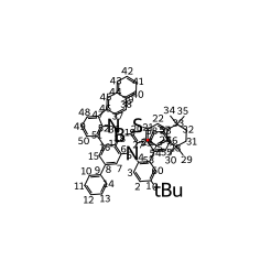 CC(C)(C)c1ccc(N2c3cc(-c4ccccc4)cc4c3B(c3sc5cc6c(cc5c32)C(C)(C)CCC6(C)C)n2c3cc5ccccc5cc3c3cccc-4c32)c(-c2ccccc2)c1